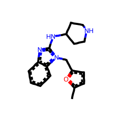 Cc1ccc(Cn2c(NC3CCNCC3)nc3ccccc32)o1